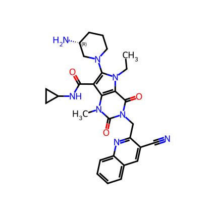 CCn1c(N2CCC[C@@H](N)C2)c(C(=O)NC2CC2)c2c1c(=O)n(Cc1nc3ccccc3cc1C#N)c(=O)n2C